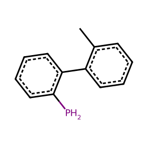 Cc1ccccc1-c1ccccc1P